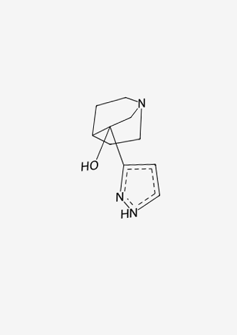 OC1(c2cc[nH]n2)CN2CCC1CC2